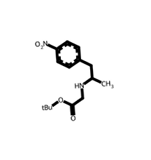 CC(Cc1ccc([N+](=O)[O-])cc1)NCC(=O)OC(C)(C)C